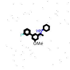 COC1=CC(c2cccc(F)c2)=C/C(=C(/C)NC2CCCCC2)C1